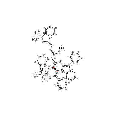 C=C/C(=C\C=C1/CC(C)(C)c2ccccc21)N(c1ccc2c3ccccc3n(-c3ccccc3)c2c1)c1ccccc1-c1ccc(-c2ccccc2)cc1C(C)(C)C